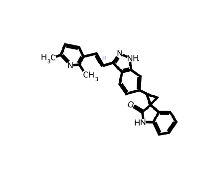 Cc1ccc(/C=C/c2n[nH]c3cc(C4CC45C(=O)Nc4ccccc45)ccc23)c(C)n1